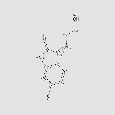 O=C1Nc2cc(Cl)ccc2/C1=N/CCO